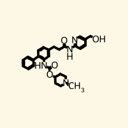 CN1CCC(OC(=O)Nc2cc(CCC(=O)Nc3ccc(CO)cn3)ccc2-c2ccccc2)CC1